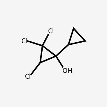 OC1(C2CC2)C(Cl)C1(Cl)Cl